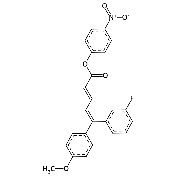 COc1ccc(/C(=C/C=C/C(=O)Oc2ccc([N+](=O)[O-])cc2)c2cccc(F)c2)cc1